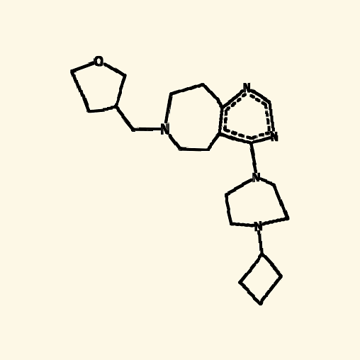 c1nc2c(c(N3CCN(C4CCC4)CC3)n1)CCN(CC1CCOC1)CC2